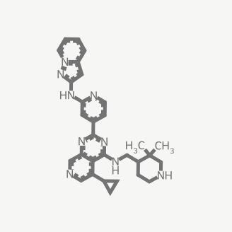 CC1(C)CNCCC1CNc1nc(-c2ccnc(Nc3cc4ccccn4n3)c2)nc2cncc(C3CC3)c12